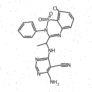 CC(Nc1ncnc(N)c1C#N)C1=Nc2cccc(Cl)c2S(=O)(=O)N1c1ccccc1